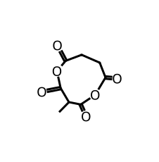 CC1C(=O)OC(=O)CCC(=O)OC1=O